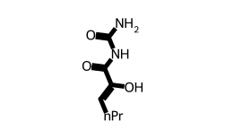 CCCC=C(O)C(=O)NC(N)=O